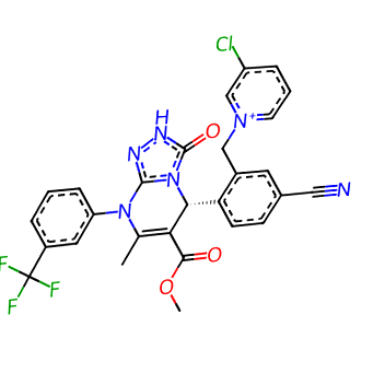 COC(=O)C1=C(C)N(c2cccc(C(F)(F)F)c2)c2n[nH]c(=O)n2[C@@H]1c1ccc(C#N)cc1C[n+]1cccc(Cl)c1